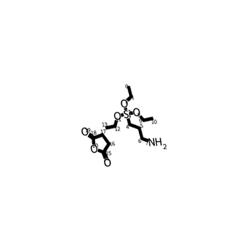 CCO[Si](CCCN)(OCC)OCC.O=C1CCC(=O)O1